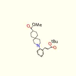 COC(=O)C1CCC2(CC1)CCN(c1ccccc1C=CC(=O)OC(C)(C)C)CC2